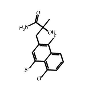 CC(O)(Cc1cc(Br)c2c(Cl)cccc2c1F)C(N)=O